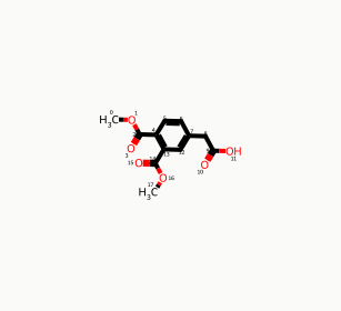 COC(=O)c1ccc(CC(=O)O)cc1C(=O)OC